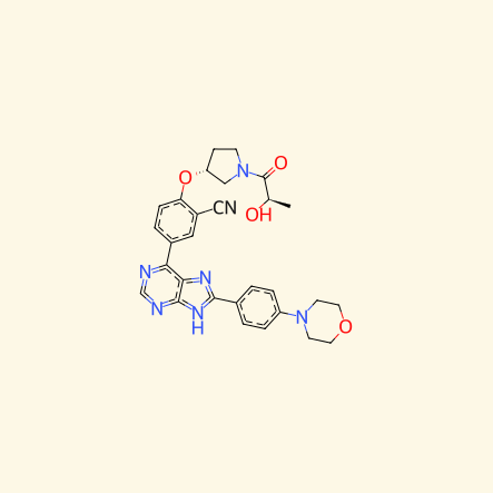 C[C@@H](O)C(=O)N1CC[C@@H](Oc2ccc(-c3ncnc4[nH]c(-c5ccc(N6CCOCC6)cc5)nc34)cc2C#N)C1